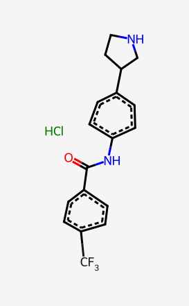 Cl.O=C(Nc1ccc(C2CCNC2)cc1)c1ccc(C(F)(F)F)cc1